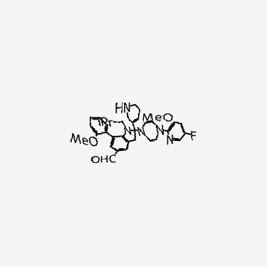 COc1ccccc1-c1cc(C=O)cc2c1N(CC(C)C)C(C1=CCCNC1)(N1CCN(c3ncc(F)cc3OC)CC1)C2